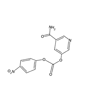 NC(=O)c1cncc(OC(=O)Oc2ccc([N+](=O)[O-])cc2)c1